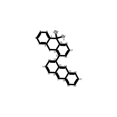 BrC1(Br)c2ccccc2Cc2c(-c3cccc4cc5ccccc5cc34)cccc21